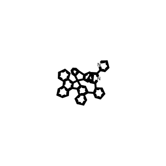 c1ccc(-c2cccc(-c3ccccc3-c3cc4c(c5ccccc35)-c3c(c5ccccc5c5ccccc35)C43c4ccccc4-c4ccccc43)n2)nc1